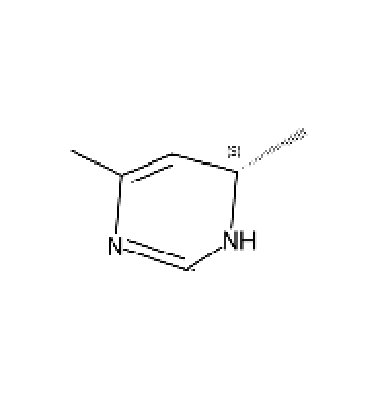 CC1=C[C@H](C)N[C]=N1